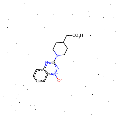 O=C(O)CC1CCN(c2nc3ccccc3[n+]([O-])n2)CC1